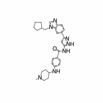 CN1CCC(Nc2ccc(C(=O)Nc3cc(-c4ccc5ncn(CC6CCCC6)c5c4)n[nH]3)cc2)CC1